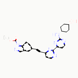 CC(C)(C)OC(=O)n1ncc2cc(C#Cc3ccnc(-c4ccnc(N[C@H]5CC[C@@H](O)CC5)n4)n3)ccc21